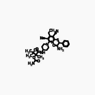 CCc1c(C#N)c(SC(C(N)=O)c2ccccc2)nc(N2CCC(NC(=O)C(C)(OC(N)=O)C(C)(C)C)CC2)c1C#N